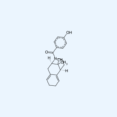 CC1(C)[C@H]2CCN(C(=O)c3ccc(O)cc3)[C@@H]1CC1=CCCC=C12